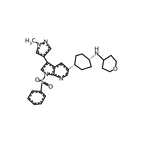 Cn1cc(-c2cn(S(=O)(=O)c3ccccc3)c3ncc([C@H]4CC[C@@H](NC5CCOCC5)CC4)cc23)cn1